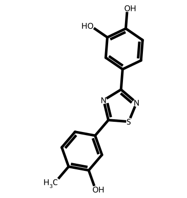 Cc1ccc(-c2nc(-c3ccc(O)c(O)c3)ns2)cc1O